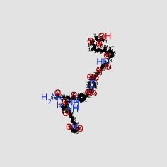 COC(C(C)O)C(C)[C@H]1O[C@]1(C)CC(C)/C=C/C=C(\C)[C@H]1O[C@@H](CNC(=O)CCOCCOC(=O)N2CCN(C(=O)OCc3ccc(NC(=O)C(CCCNC(N)=O)NC(=O)C(NC(=O)CCCCCN4C(=O)C=CC4=O)C(C)C)cc3)CC2)CC[C@@H]1C